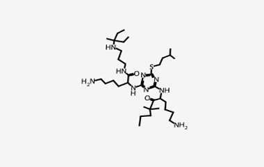 CCCC(C)(C)C(=O)C(CCCCN)Nc1nc(NC(CCCCN)C(=O)NCCCNC(C)(CC)CC)nc(SCCC(C)C)n1